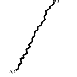 [CH2]CC[CH]CCCCCCCCCCCCCCCCCCCCCCC